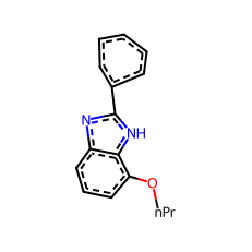 CCCOc1cccc2nc(-c3ccccc3)[nH]c12